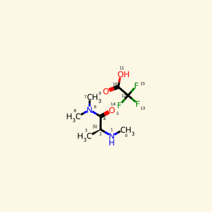 CN[C@@H](C)C(=O)N(C)C.O=C(O)C(F)(F)F